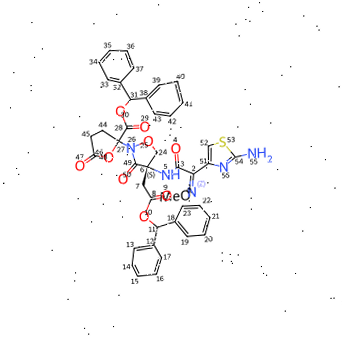 CO/N=C(\C(=O)N[C@@]1(CC(=O)OC(c2ccccc2)c2ccccc2)CON(C2(C(=O)OC(c3ccccc3)c3ccccc3)CCC(=O)O2)C1=O)c1csc(N)n1